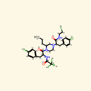 CCCC1CN(C(Cc2ccc(Cl)cc2)C(=O)NCCF)CCN1C(=O)C(Cc1ccc(F)cc1)NC(=O)C(F)(F)F